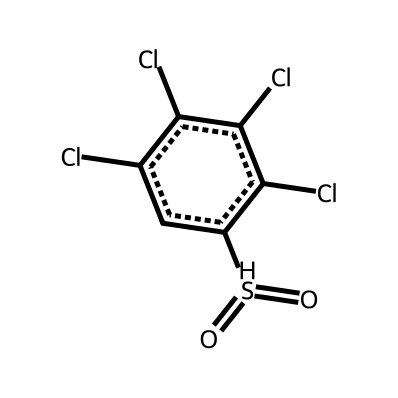 O=[SH](=O)c1cc(Cl)c(Cl)c(Cl)c1Cl